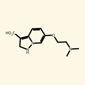 CN(C)CCOC1=CN2NCC(C(=O)O)=C2C=C1